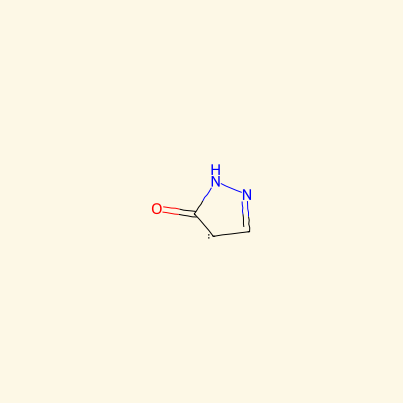 O=C1[C]C=NN1